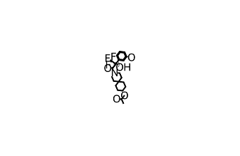 COc1cccc([C@@](O)(C(=O)N2CCC3(CCC(OC(C)=O)CC3)CC2)C(F)(F)F)c1